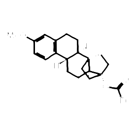 CCC(=O)O[C@]12CC[C@]3(CC1)[C@@H]1CCc4cc(OC)ccc4[C@H]1CC[C@]23C